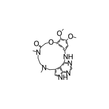 COc1cc2cc(c1OC)OCC(=O)N(C)CCN(C)Cc1c[nH]c3ncnc(c13)N2